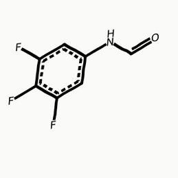 O=CNc1cc(F)c(F)c(F)c1